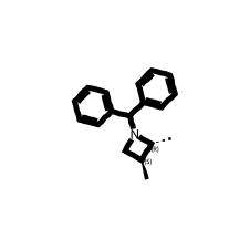 C[C@@H]1[C@@H](C)CN1C(c1ccccc1)c1ccccc1